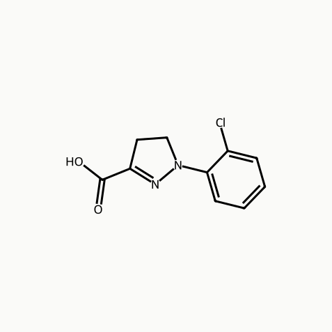 O=C(O)C1=NN(c2ccccc2Cl)CC1